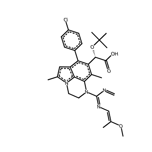 C=N/C(=N\C=C(/C)OC)N1CCn2c(C)cc3c(-c4ccc(Cl)cc4)c([C@H](OC(C)(C)C)C(=O)O)c(C)c1c32